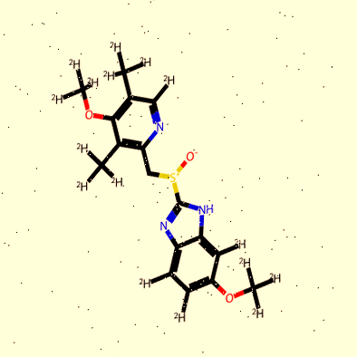 [2H]c1nc(C[S+]([O-])c2nc3c([2H])c([2H])c(OC([2H])([2H])[2H])c([2H])c3[nH]2)c(C([2H])([2H])[2H])c(OC([2H])([2H])[2H])c1C([2H])([2H])[2H]